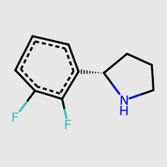 Fc1cccc([C@@H]2CCCN2)c1F